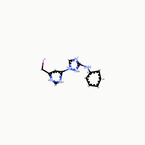 ICc1cc(-n2cnc(Nc3ccccc3)n2)ncn1